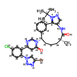 BC(B)(B)n1ncc2c1-c1cccc(c1)[C@@H](n1cnc(-c3cc(Cl)ccc3-n3cc(Br)nn3)cc1=O)CCC[C@@H](C)C(=O)N2